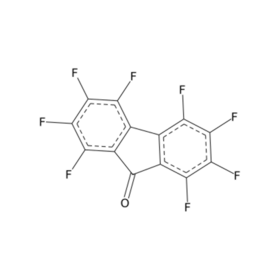 O=C1c2c(F)c(F)c(F)c(F)c2-c2c(F)c(F)c(F)c(F)c21